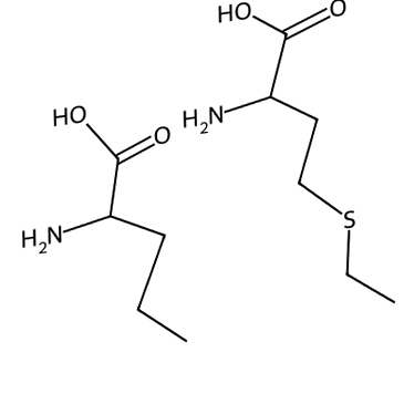 CCCC(N)C(=O)O.CCSCCC(N)C(=O)O